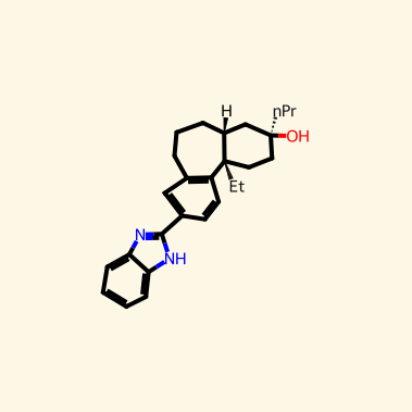 CCC[C@]1(O)CC[C@]2(CC)c3ccc(-c4nc5ccccc5[nH]4)cc3CCC[C@@H]2C1